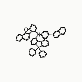 c1ccc(C2(c3ccccc3)c3ccccc3-c3c(N(c4ccc(-c5ccc6ccccc6c5)cc4)c4cccc5oc6c7ccccc7ccc6c45)cccc32)cc1